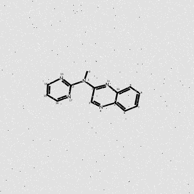 CN(c1cnc2ccccc2n1)c1ncccn1